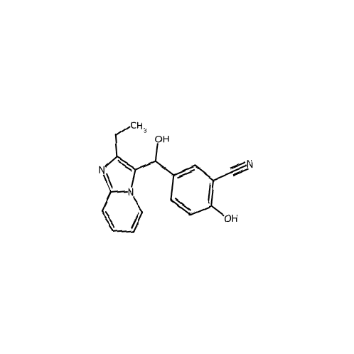 CCc1nc2ccccn2c1C(O)c1ccc(O)c(C#N)c1